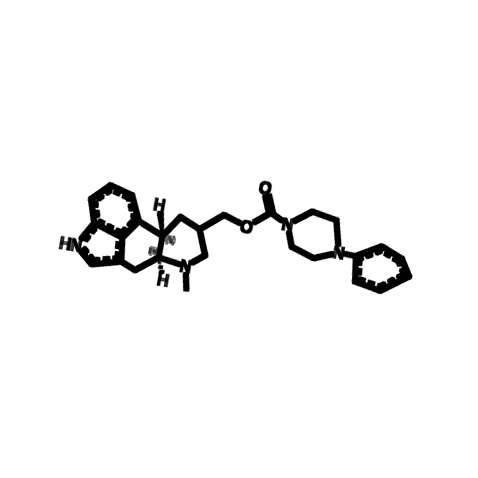 CN1CC(COC(=O)N2CCN(c3ccccc3)CC2)C[C@H]2c3cccc4[nH]cc(c34)C[C@@H]21